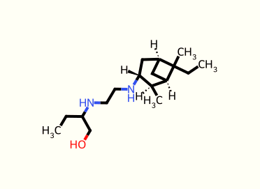 CCC(CO)NCCN[C@@H]1C[C@@H]2C[C@H]([C@H]1C)C2(C)CC